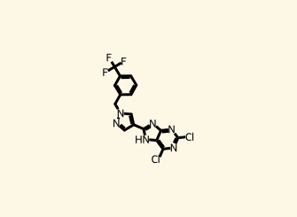 FC(F)(F)c1cccc(Cn2cc(-c3nc4nc(Cl)nc(Cl)c4[nH]3)cn2)c1